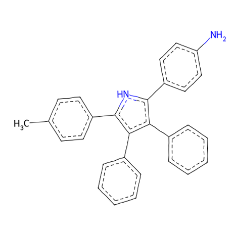 Cc1ccc(-c2[nH]c(-c3ccc(N)cc3)c(-c3ccccc3)c2-c2ccccc2)cc1